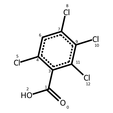 O=C(O)c1c(Cl)cc(Cl)c(Cl)c1Cl